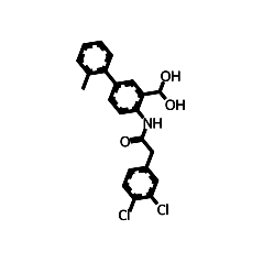 Cc1ccccc1-c1ccc(NC(=O)Cc2ccc(Cl)c(Cl)c2)c(C(O)O)c1